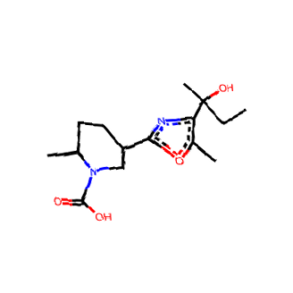 CCC(C)(O)c1nc(C2CCC(C)N(C(=O)O)C2)oc1C